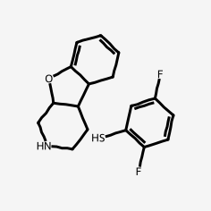 C1=CCC2C(=C1)OC1CNCCC12.Fc1ccc(F)c(S)c1